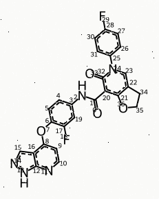 O=C(Nc1ccc(Oc2ccnc3[nH]ncc23)c(F)c1)c1c2c(cn(-c3ccc(F)cc3)c1=O)CCO2